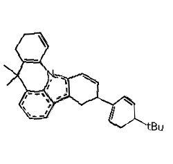 CC1(C)C2=C(C=CCC2)n2c3c(c4cccc1c42)CC(C1=CCC(C(C)(C)C)C=C1)C=C3